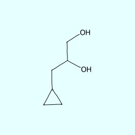 OCC(O)C[C]1CC1